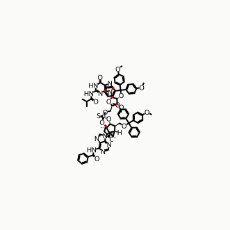 [C-]#[N+]CCOP(=S)(OC[C@H]1O[C@@H](n2cnc3c(=O)[nH]c(NC(=O)C(C)C)nc32)[C@H](OC(c2ccccc2)(c2ccc(OC)cc2)c2ccc(OC)cc2)[C@@H]1OC)O[C@@H]1[C@@H](COC(c2ccccc2)(c2ccc(OC)cc2)c2ccc(OC)cc2)[C@@H]2CC2(n2cnc3c(NC(=O)c4ccccc4)ncnc32)[C@@H]1C